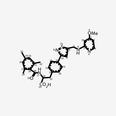 COc1ccnc(NCc2cc(-c3ccc(CC(NC(=O)c4c(C)cc(C)cc4C)C(=O)O)cc3)ns2)c1